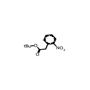 CC(C)(C)OC(=O)Cc1[c]cccc1[N+](=O)[O-]